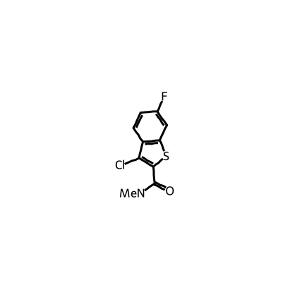 CNC(=O)c1sc2cc(F)ccc2c1Cl